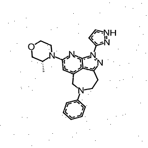 C[C@@H]1COCCN1c1cc2c3c(nn(-c4cc[nH]n4)c3n1)CCN(c1ccccc1)C2